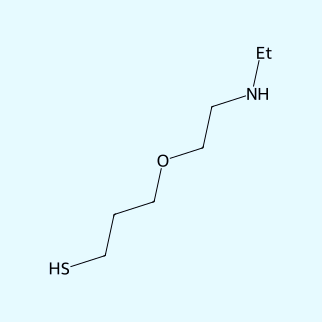 CCNCCOCCCS